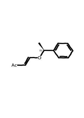 CC(=O)C=CO[C@@H](C)c1ccccc1